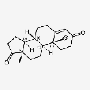 C#C[C@]12CCC(=O)C=C1CC[C@@H]1[C@@H]2CC[C@]2(C)C(=O)CC[C@@H]12